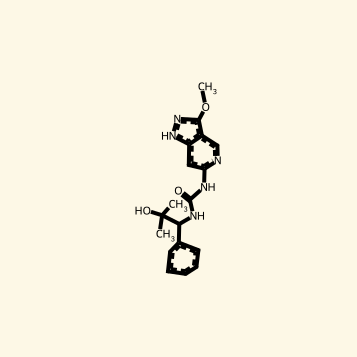 COc1n[nH]c2cc(NC(=O)NC(c3ccccc3)C(C)(C)O)ncc12